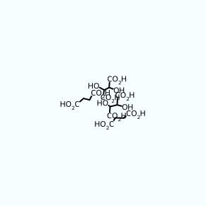 O=C(O)C(O)C(O)C(=O)O.O=C(O)C(O)C(O)C(=O)O.O=C(O)CCC(=O)O.O=C(O)CCC(=O)O